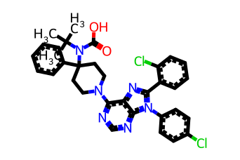 CC(C)(C)N(C(=O)O)C1(c2ccccc2)CCN(c2ncnc3c2nc(-c2ccccc2Cl)n3-c2ccc(Cl)cc2)CC1